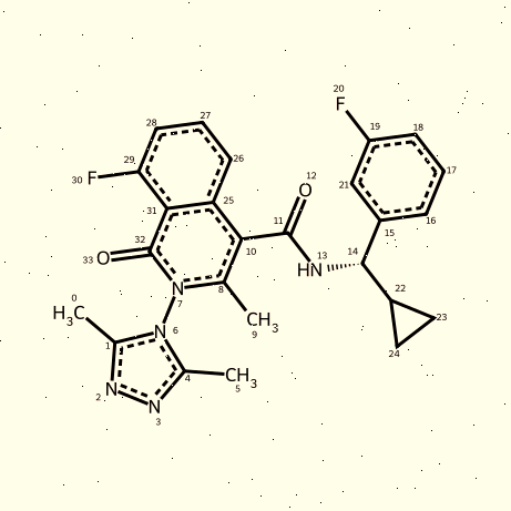 Cc1nnc(C)n1-n1c(C)c(C(=O)N[C@H](c2cccc(F)c2)C2CC2)c2cccc(F)c2c1=O